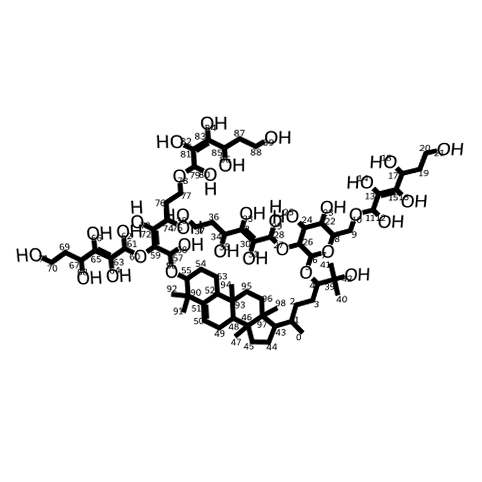 CC(CCC(OC1OC(COC(O)/C(O)=C(\O)C(O)CCO)C(O)C(O)C1OC(O)/C(O)=C(\O)C(O)CCO)C(C)(C)O)C1CCC2(C)C3CC=C4C(CCC(OC(O)/C(OC(O)/C(O)=C(\O)C(O)CCO)=C(/O)C(O)CCOC(O)/C(O)=C(/O)C(O)CCO)C4(C)C)C3(C)CCC12C